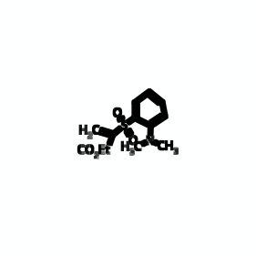 C=C(C(=O)OCC)S(=O)(=O)c1ccccc1N(C)C